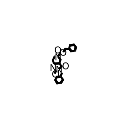 O=C(OCc1ccccc1)N1CCc2nc(Cl)n(Cc3ccccc3)c(=O)c2C1